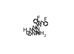 Nc1nc(-c2nn(Cc3ccccc3F)c3c(F)cccc23)nc(N)c1NC1CCOC1